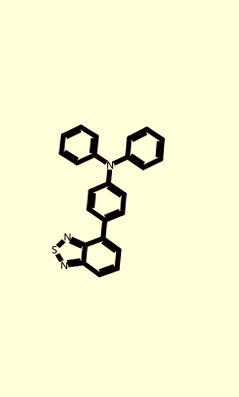 c1ccc(N(c2ccccc2)c2ccc(-c3cccc4nsnc34)cc2)cc1